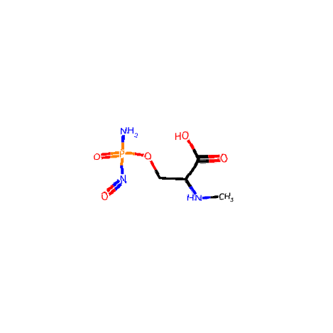 CNC(COP(N)(=O)N=O)C(=O)O